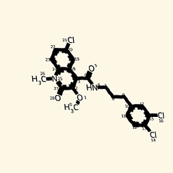 COc1c(C(=O)NCCCc2ccc(Cl)c(Cl)c2)c2cc(Cl)ccc2n(C)c1=O